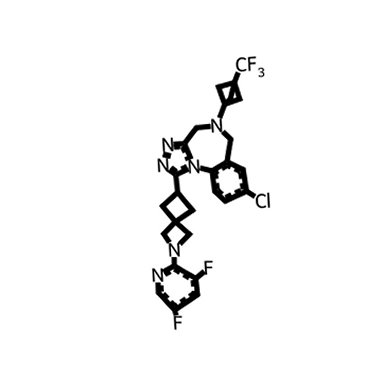 Fc1cnc(N2CC3(CC(c4nnc5n4-c4ccc(Cl)cc4CN(C46CC(C(F)(F)F)(C4)C6)C5)C3)C2)c(F)c1